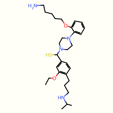 CCOc1cc(C(S)N2CCN(c3ccccc3OCCCCCN)CC2)ccc1CCCNC(C)C